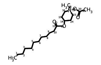 CCCCCCCCCCCC(=O)OC1CC[N+](C)(OC(C)=O)CC1